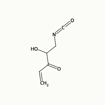 C=CC(=O)C(O)CN=C=O